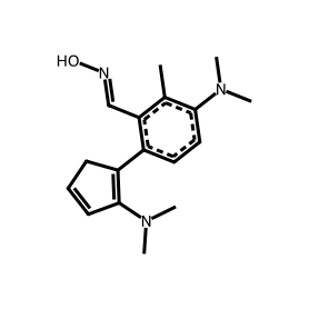 Cc1c(N(C)C)ccc(C2=C(N(C)C)C=CC2)c1C=NO